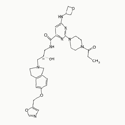 CCC(=O)N1CCN(c2nc(NC3COC3)cc(C(=O)NC[C@H](O)CN3CCc4cc(OCc5cnco5)ccc4C3)n2)CC1